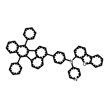 c1ccc(-c2c3c(c(-c4ccccc4)c4ccccc24)-c2ccc(-c4ccc(N(c5ccncc5)c5cccc6c5oc5ccccc56)cc4)c4cccc-3c24)cc1